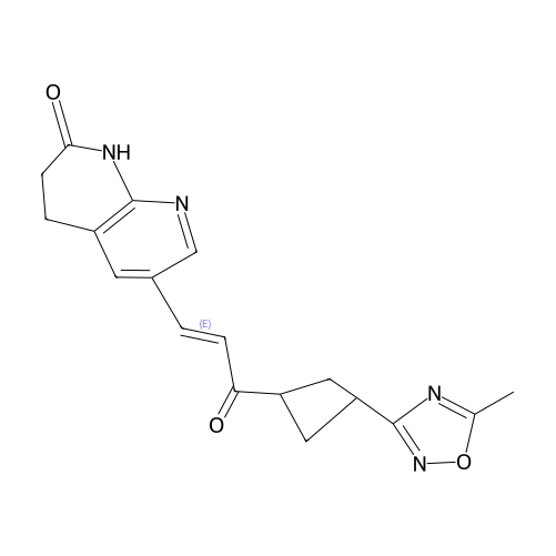 Cc1nc(C2CC(C(=O)/C=C/c3cnc4c(c3)CCC(=O)N4)C2)no1